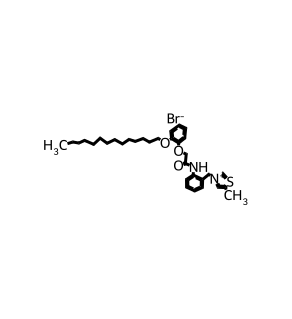 CCCCCCCCCCCCCCOc1ccccc1OCC(=O)Nc1ccccc1C[n+]1csc(C)c1.[Br-]